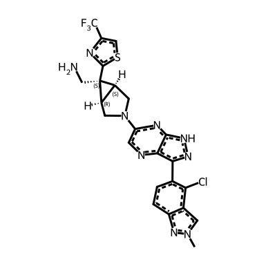 Cn1cc2c(Cl)c(-c3n[nH]c4nc(N5C[C@@H]6[C@H](C5)[C@]6(CN)c5nc(C(F)(F)F)cs5)cnc34)ccc2n1